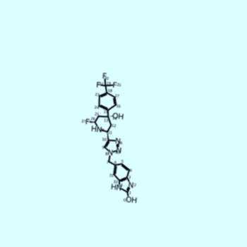 Oc1nc2ccc(Cn3cc([C@@H]4C[C@](O)(c5ccc(C(F)(F)F)cc5)C[C@H](F)N4)nn3)cc2[nH]1